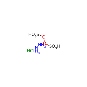 Cl.N.N.O=S(=O)(O)OOS(=O)(=O)O